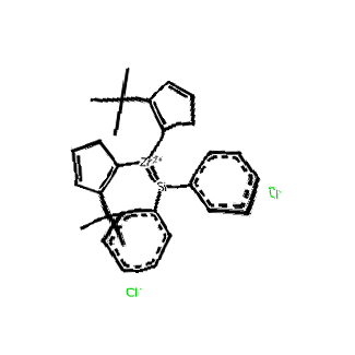 CC(C)(C)C1=[C]([Zr+2]([C]2=C(C(C)(C)C)C=CC2)=[Si](c2ccccc2)c2ccccc2)CC=C1.[Cl-].[Cl-]